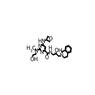 CN(CCO)c1nc(NC2COC2)cc(C(=O)NC[C@H](O)CN2CCc3ccccc3C2)n1